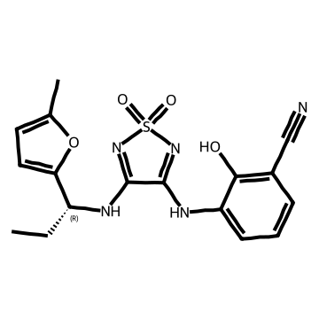 CC[C@@H](NC1=NS(=O)(=O)N=C1Nc1cccc(C#N)c1O)c1ccc(C)o1